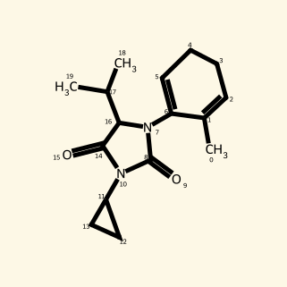 CC1=CCCC=C1N1C(=O)N(C2CC2)C(=O)C1C(C)C